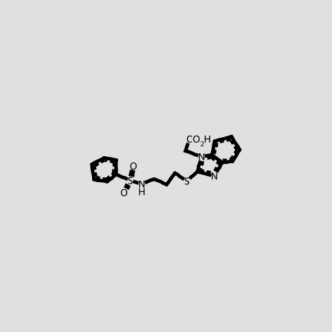 O=C(O)Cn1c(SCCCNS(=O)(=O)c2ccccc2)nc2ccccc21